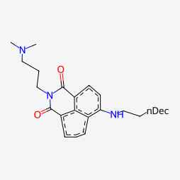 CCCCCCCCCCCCNc1ccc2c3c(cccc13)C(=O)N(CCCN(C)C)C2=O